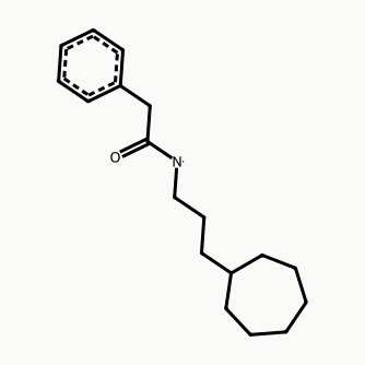 O=C(Cc1ccccc1)[N]CCCC1CCCCCC1